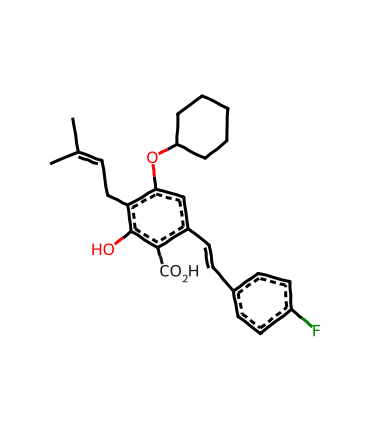 CC(C)=CCc1c(OC2CCCCC2)cc(C=Cc2ccc(F)cc2)c(C(=O)O)c1O